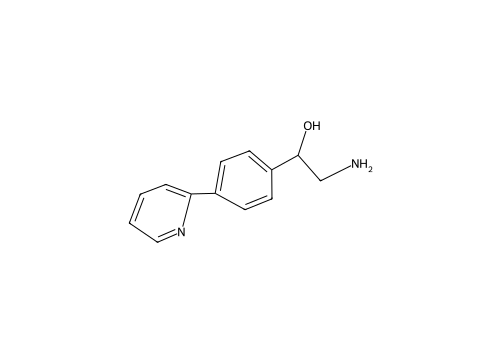 NCC(O)c1ccc(-c2ccccn2)cc1